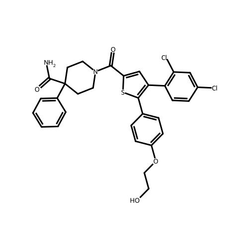 NC(=O)C1(c2ccccc2)CCN(C(=O)c2cc(-c3ccc(Cl)cc3Cl)c(-c3ccc(OCCO)cc3)s2)CC1